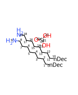 CCCCCCCCCCCCCCCCCCN.CCCCCCCCCCCCCCCCCCN.O=[Si](O)O